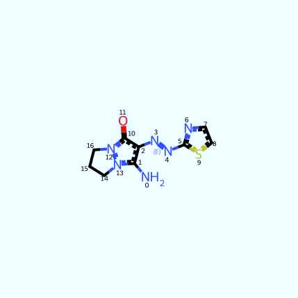 Nc1c(/N=N/c2nccs2)c(=O)n2n1CCC2